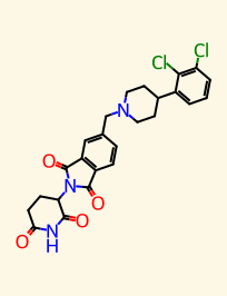 O=C1CCC(N2C(=O)c3ccc(CN4CCC(c5cccc(Cl)c5Cl)CC4)cc3C2=O)C(=O)N1